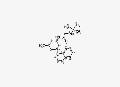 C[C@H]1C[C@@H](NC(=O)CNC(C)(C)C)CN(c2ccnc3nccnc23)C1